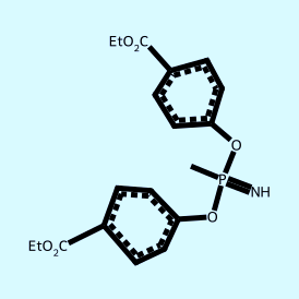 CCOC(=O)c1ccc(OP(C)(=N)Oc2ccc(C(=O)OCC)cc2)cc1